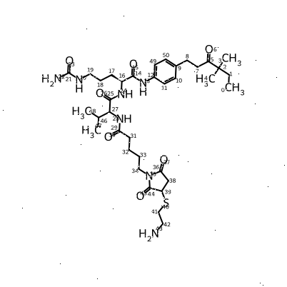 CCC(C)(C)C(=O)CCc1ccc(NC(=O)[C@H](CCCNC(N)=O)NC(=O)C(NC(=O)CCCCN2C(=O)CC(SCCN)C2=O)C(C)C)cc1